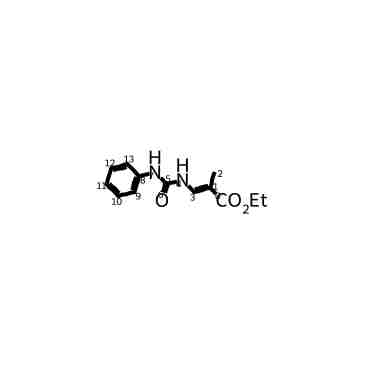 CCOC(=O)C(C)=CNC(=O)Nc1ccccc1